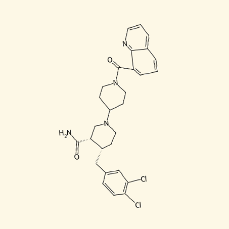 NC(=O)[C@@H]1CN(C2CCN(C(=O)c3cccc4cccnc34)CC2)CC[C@@H]1Cc1ccc(Cl)c(Cl)c1